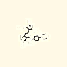 Cc1n[nH]c(C)c1-c1cc2nc[nH]c(=O)c2c(Nc2ccc(N3CCOCC3)cc2)n1